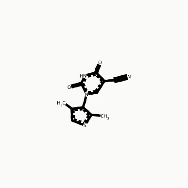 Cc1csc(C)c1-n1cc(C#N)c(=O)[nH]c1=O